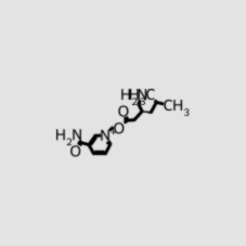 CC(C)C[C@H](CN)CC(=O)OC[n+]1cccc(C(N)=O)c1